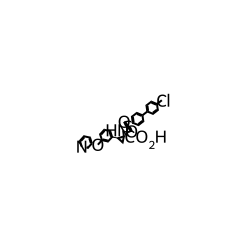 O=C(O)[C@@]1(NS(=O)(=O)c2ccc(-c3ccc(Cl)cc3)cc2)C[C@H]1c1cccc(Oc2cccnc2)c1